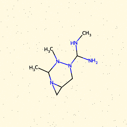 CNC(N)N1CC2CN2C(C)N1C